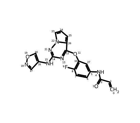 C=CC(=O)Nc1ccc(F)c(Oc2nc(Nc3cnoc3)nn3cccc23)c1